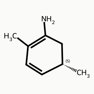 CC1=C(N)C[C@H](C)C=C1